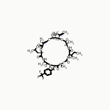 C/C=C(\C)[C@H]1OC(=O)[C@@H](C)NC(=O)C(C(C)CC)NC(=O)CN(C)C(=O)[C@@H](Cc2ccc(C(F)(F)F)cc2)N(C)C(=O)[C@H](C)NC(=O)[C@@H](CC(C)C)OC(=O)/C(C)=C/C[C@H](O)[C@@H]1C